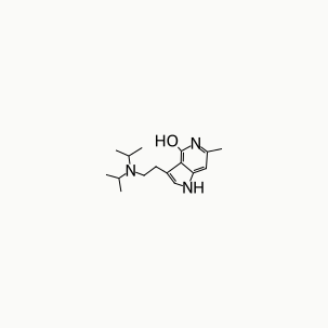 Cc1cc2[nH]cc(CCN(C(C)C)C(C)C)c2c(O)n1